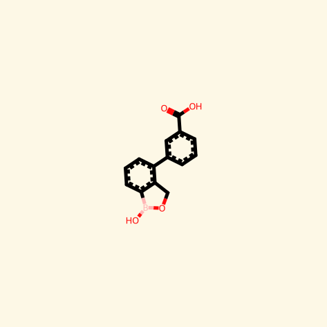 O=C(O)c1cccc(-c2cccc3c2COB3O)c1